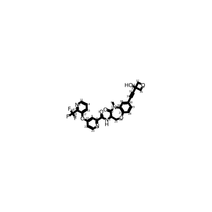 CN1C(=O)C(NC(=O)c2cc(Oc3cccnc3C(F)(F)F)ccn2)COc2ccc(C#CC3(O)COC3)cc21